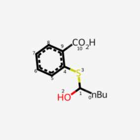 CCCCC(O)Sc1ccccc1C(=O)O